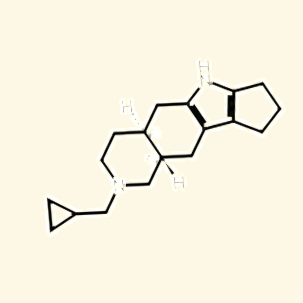 C1Cc2[nH]c3c(c2C1)C[C@@H]1CN(CC2CC2)CC[C@H]1C3